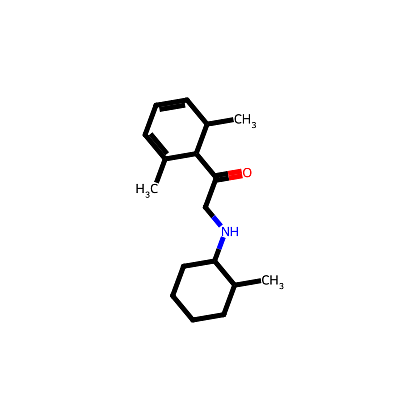 CC1=CC=CC(C)C1C(=O)CNC1CCCCC1C